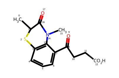 CC1Sc2cccc(C(=O)CCC(=O)O)c2N(C)C1=O